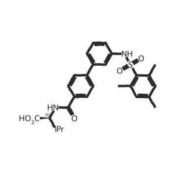 Cc1cc(C)c(S(=O)(=O)Nc2cccc(-c3ccc(C(=O)N[C@H](C(=O)O)C(C)C)cc3)c2)c(C)c1